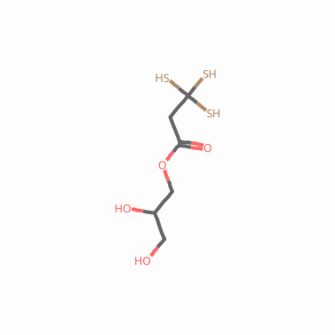 O=C(CC(S)(S)S)OCC(O)CO